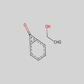 O=CCO.O=c1c2ccccc12